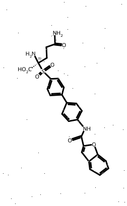 NC(=O)CC[C@@](N)(C(=O)O)S(=O)(=O)c1ccc(-c2ccc(NC(=O)c3cc4ccccc4o3)cc2)cc1